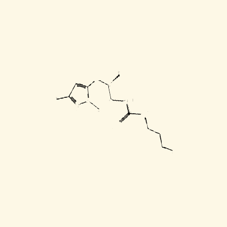 CCCCOC(=O)NC[C@H](C)Oc1cc(C)nn1C